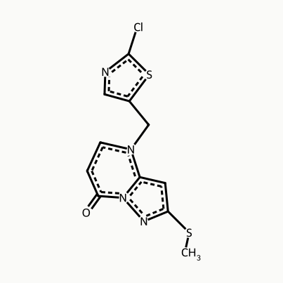 CSc1cc2n(Cc3cnc(Cl)s3)ccc(=O)n2n1